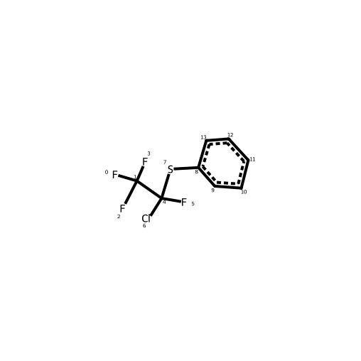 FC(F)(F)C(F)(Cl)Sc1ccccc1